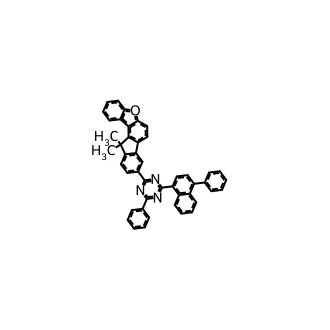 CC1(C)c2ccc(-c3nc(-c4ccccc4)nc(-c4ccc(-c5ccccc5)c5ccccc45)n3)cc2-c2ccc3oc4ccccc4c3c21